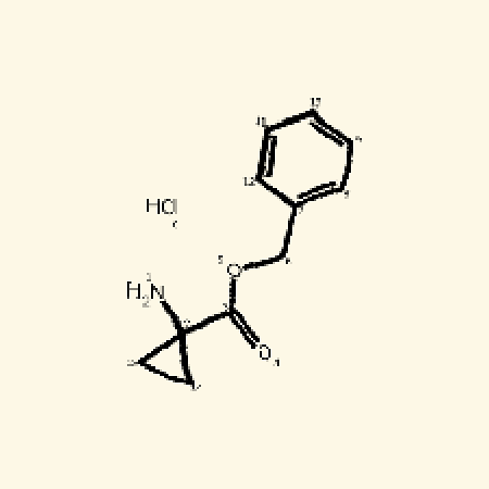 Cl.NC1(C(=O)OCc2ccccc2)CC1